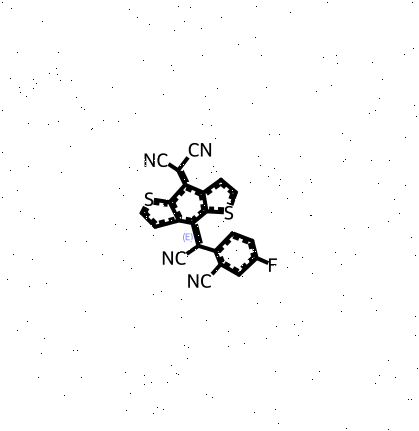 N#CC(C#N)=c1c2ccsc2/c(=C(/C#N)c2ccc(F)cc2C#N)c2ccsc12